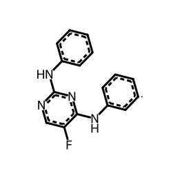 Fc1cnc(Nc2ccccc2)nc1Nc1c[c]ccc1